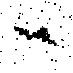 C=CCOC(=O)NO[C@](C)(C(=O)OC(C)(C)C)[C@H]1CCc2cc(-c3cnn(CCCNC(=O)OC(C)(C)C)c3)ccc2O1